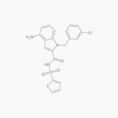 Nc1cccc2c1cc(C(=O)NS(=O)(=O)c1cccs1)n2Cc1cccc(Cl)c1